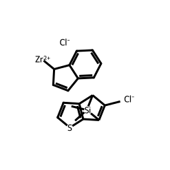 CC1=C2c3sccc3C1[Si]2(C)C.[Cl-].[Cl-].[Zr+2][CH]1C=Cc2ccccc21